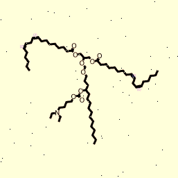 CCCCC/C=C\C/C=C\CCCCCCCC(=O)OCC(COC(=O)CCCCCCC/C=C\C/C=C\CCCCC)OCOCCCC(CCCCCCCCCCCC)OC(=O)OCCCCN(CC)CC